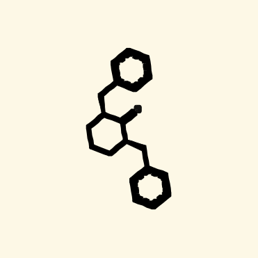 O=C1[C@@H](Cc2ccccc2)CCC[C@H]1Cc1ccccc1